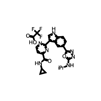 CC(C)Nc1nnc(-c2ccc3[nH]cc(-c4nccc(C(=O)NC5CC5)n4)c3c2)o1.O=C(O)C(F)(F)F